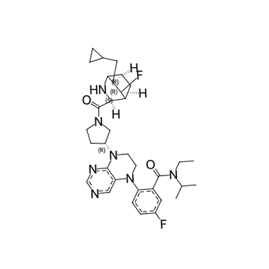 CCN(C(=O)c1cc(F)ccc1N1CCN([C@@H]2CCN(C(=O)[C@H]3NC4CCC3[C@H](F)[C@@H]4CC3CC3)C2)c2ncncc21)C(C)C